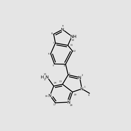 Cn1nc(-c2ccc3cn[nH]c3c2)c2c(N)ncnc21